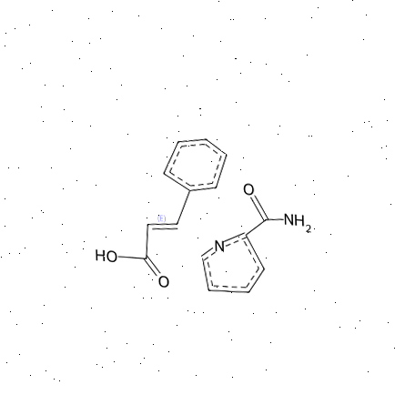 NC(=O)c1ccccn1.O=C(O)/C=C/c1ccccc1